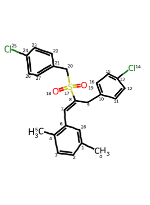 Cc1ccc(C)c(/C=C(\Cc2ccc(Cl)cc2)S(=O)(=O)Cc2ccc(Cl)cc2)c1